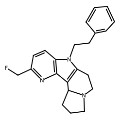 FCc1ccc2c(n1)c1c(n2CCc2ccccc2)CCN2CCCC12